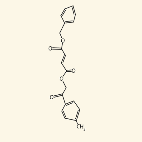 Cc1ccc(C(=O)COC(=O)/C=C/C(=O)OCc2ccccc2)cc1